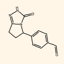 O=Cc1ccc(C2CCc3n[nH]c(=O)n32)cc1